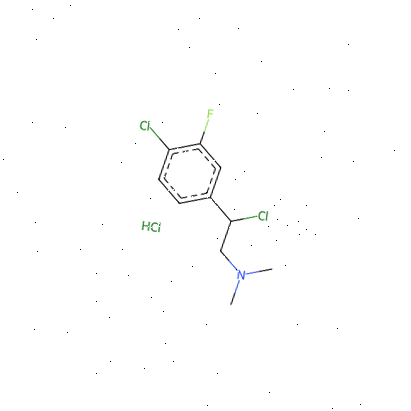 CN(C)CC(Cl)c1ccc(Cl)c(F)c1.Cl